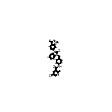 Cc1ncc(Cl)cc1C(=O)NC1CCC(Cn2c(=O)n(-c3ccc4c(C)nn(C)c4c3)c3ccccc32)CC1